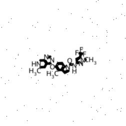 Cc1c(Oc2ncnc3c2CC(C)NC3)ccc2c1ccn2C(=O)Nc1cc(C(F)(F)F)n(C)n1